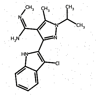 C/N=C(/N)c1c(-c2[nH]c3ccccc3c2Cl)nn(C(C)C)c1C